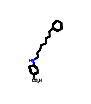 O=C(O)c1ccc(NCCCCCCCCc2ccccc2)cc1